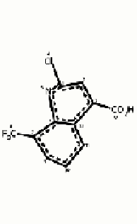 O=C(O)c1cc(Cl)nc2c(C(F)(F)F)cccc12